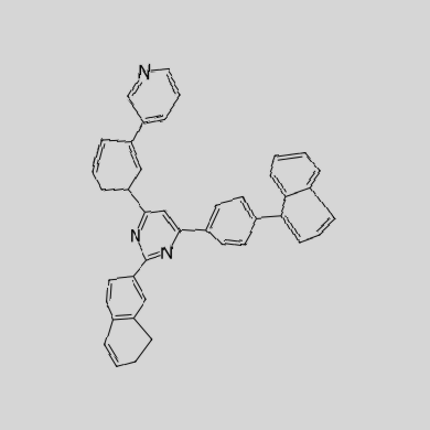 C1=Cc2ccc(-c3nc(-c4ccc(-c5cccc6ccccc56)cc4)cc(C4C=C(c5cccnc5)C=CC4)n3)cc2CC1